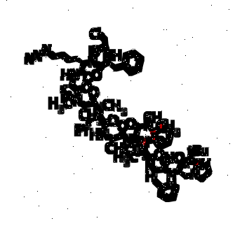 CC(C)C[C@H](NC(=O)[C@H](CCCCN=[N+]=[N-])NC(=O)[C@H](Cc1ccccc1)NC(=O)CCl)C(=O)N(C)[C@@H](C)C(=O)N(C)[C@@H](CC(C)C)C(=O)N[C@@H](C)C(=O)N(C)[C@@H](Cc1ccccc1)C(=O)N(C)[C@@H](C)C(=O)N[C@@H](C)C(=O)N[C@@H](Cc1ccccc1)C(=O)N[C@H](CN1CCC[C@H]1C(=O)O)C[S](S)C(C)(C)C